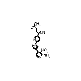 C[S+]([O-])CCC(C#N)c1ccc(-n2cc(-c3ccnc(N)c3[N+](=O)[O-])cn2)nc1